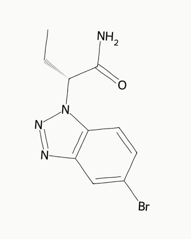 CC[C@H](C(N)=O)n1nnc2cc(Br)ccc21